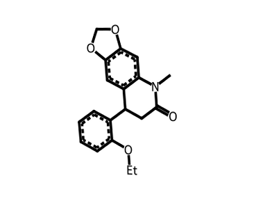 CCOc1ccccc1C1CC(=O)N(C)c2cc3c(cc21)OCO3